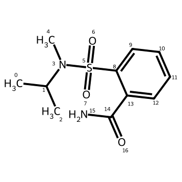 CC(C)N(C)S(=O)(=O)c1ccccc1C(N)=O